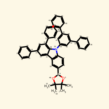 CC1(C)OB(c2ccc3c(c2)c2cc(-c4ccccc4)cc(-c4ccccc4)c2n3-c2cc(-c3ccccc3)cc(-c3ccccc3)c2)OC1(C)C